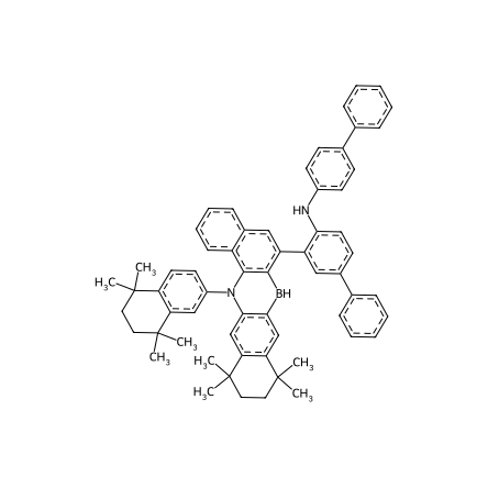 CC1(C)CCC(C)(C)c2cc(N3c4cc5c(cc4Bc4c(-c6cc(-c7ccccc7)ccc6Nc6ccc(-c7ccccc7)cc6)cc6ccccc6c43)C(C)(C)CCC5(C)C)ccc21